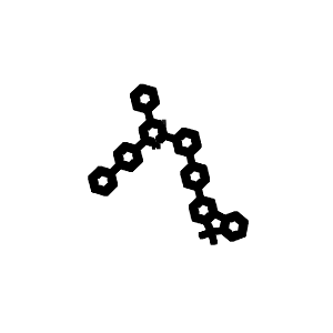 CC1(C)c2ccccc2-c2cc(-c3ccc(-c4cccc(-c5nc(-c6ccccc6)cc(-c6ccc(-c7ccccc7)cc6)n5)c4)cc3)ccc21